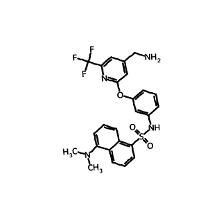 CN(C)c1cccc2c(S(=O)(=O)Nc3cccc(Oc4cc(CN)cc(C(F)(F)F)n4)c3)cccc12